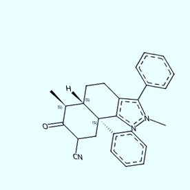 C[C@@H]1C(=O)C(C#N)C[C@]2(c3ccccc3)c3nn(C)c(-c4ccccc4)c3CC[C@@H]12